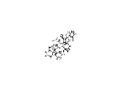 CC(Cc1ccc(C#N)cc1)(NC(=O)[C@H]1CCCN(CC(O)(c2ccccc2)c2ccccn2)C1)c1cnc[nH]1